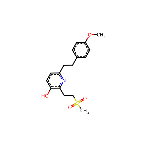 COc1ccc(CCc2ccc(O)c(CCS(C)(=O)=O)n2)cc1